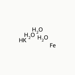 O.O.O.[Fe].[KH]